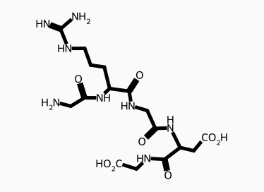 N=C(N)NCCCC(NC(=O)CN)C(=O)NCC(=O)NC(CC(=O)O)C(=O)NCC(=O)O